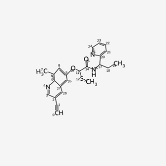 C#Cc1cnc2c(C)cc(OC(SC)C(=O)NC(CC)c3ccccn3)cc2c1